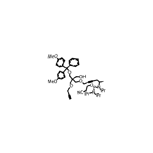 C#CCOCC(CO)(COCC#CCC(C)N(C(C)C)P(OCCC#N)N(C(C)C)C(C)C)COC(c1ccccc1)(c1ccc(OC)cc1)c1ccc(OC)cc1